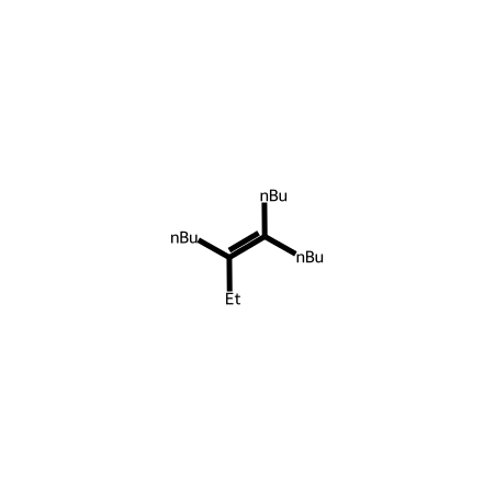 CCCCC(CC)=C(CCCC)CCCC